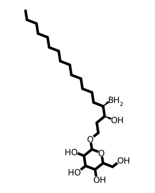 B[C@H](CCCCCCCCCCCCCC)[C@@H](O)CCOC1OC(CO)C(O)C(O)C1O